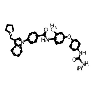 Cc1cc(Oc2ccc(NC(=O)NC(C)C)cc2)ccc1NC(=O)c1ccc(-n2cc(CN3CCCC3)c3ccccc32)cc1